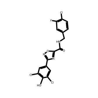 O=C(NCc1ccc(Cl)c(F)c1)c1nc(-c2cc(Cl)c(O)c(Cl)c2)no1